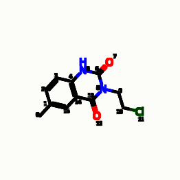 Cc1ccc2[nH]c(=O)n(CCCl)c(=O)c2c1